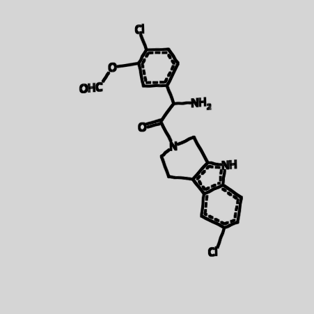 NC(C(=O)N1CCc2c([nH]c3ccc(Cl)cc23)C1)c1ccc(Cl)c(OC=O)c1